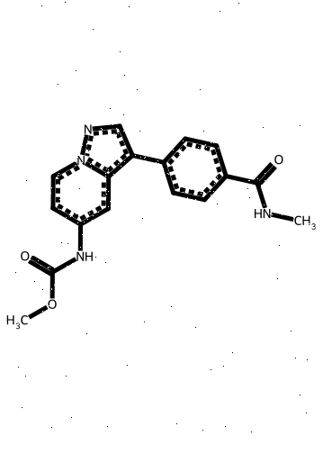 CNC(=O)c1ccc(-c2cnn3ccc(NC(=O)OC)cc23)cc1